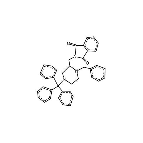 O=C1c2ccccc2C(=O)N1CC1CN(C(c2ccccc2)(c2ccccc2)c2ccccc2)CCN1Cc1ccccc1